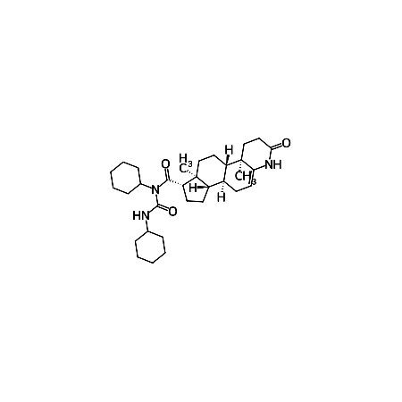 C[C@]12CC[C@H]3[C@@H](CC=C4NC(=O)CC[C@@]43C)[C@@H]1CC[C@@H]2C(=O)N(C(=O)NC1CCCCC1)C1CCCCC1